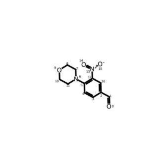 O=Cc1ccc(N2CCOCC2)c([N+](=O)[O-])c1